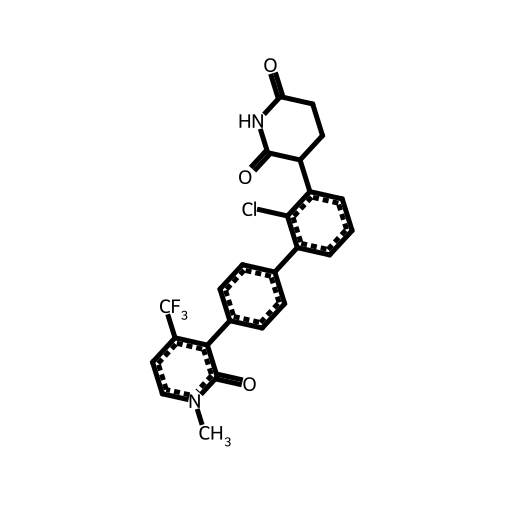 Cn1ccc(C(F)(F)F)c(-c2ccc(-c3cccc(C4CCC(=O)NC4=O)c3Cl)cc2)c1=O